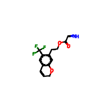 N=CC(=O)OCCc1cc2c(cc1C(F)(F)F)C=CCO2